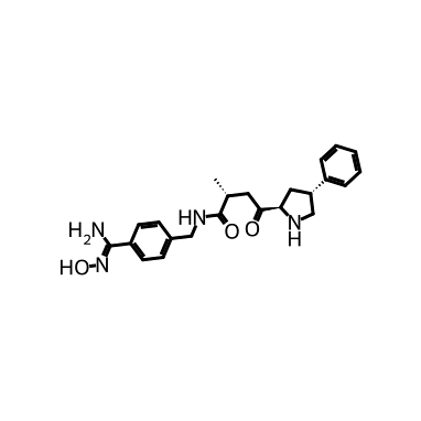 C[C@H](CC(=O)[C@H]1C[C@H](c2ccccc2)CN1)C(=O)NCc1ccc(/C(N)=N/O)cc1